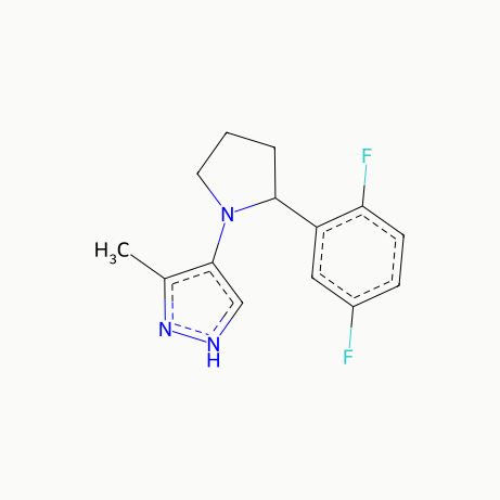 Cc1n[nH]cc1N1CCCC1c1cc(F)ccc1F